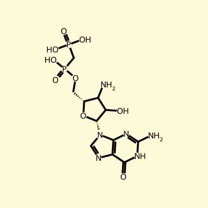 Nc1nc2c(ncn2[C@@H]2O[C@H](COP(=O)(O)CP(=O)(O)O)C(N)C2O)c(=O)[nH]1